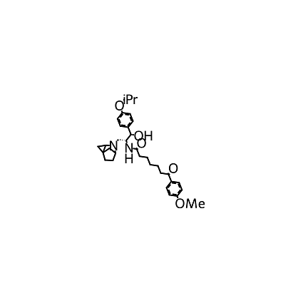 COc1ccc(C(=O)CCCCCC(=O)N[C@H](CN2C3CCC4(C3)CC24)[C@H](O)c2ccc(OC(C)C)cc2)cc1